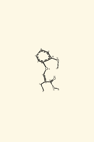 CCC(=COc1ccccc1OC)C(=O)OC